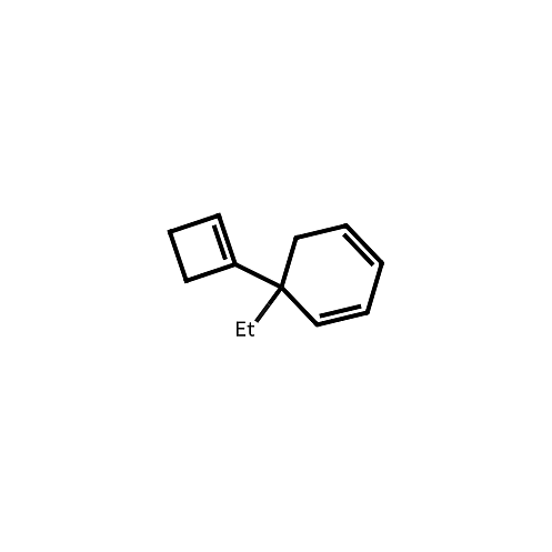 CCC1(C2=CCC2)C=CC=CC1